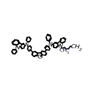 C=C/C=C\C=C(/C)n1c2ccccc2c2cc(N(c3ccccc3)c3ccc(-c4ccc5oc6ccc(-c7ccc(N(c8ccccc8)c8ccc9c(c8)c8ccccc8n9-c8ccccc8)cc7)cc6c5c4)cc3)ccc21